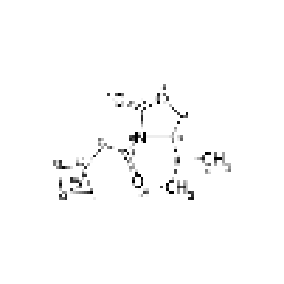 CC(C)C1COC(=O)N1C(=O)CC12CC(C1)C2